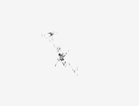 CC(C)(C)[Si](C)(C)OCCN(CCCOc1ccc2c(Nc3cnn(C(C(=O)Nc4cccc(F)c4)[N+]4(CC(=O)Nc5cccc(F)c5)C=C(Nc5ncnc6cc(OCCCN(CCO)C7CCOC7)ccc56)C=N4)c3)ncnc2c1)C1CCOC1